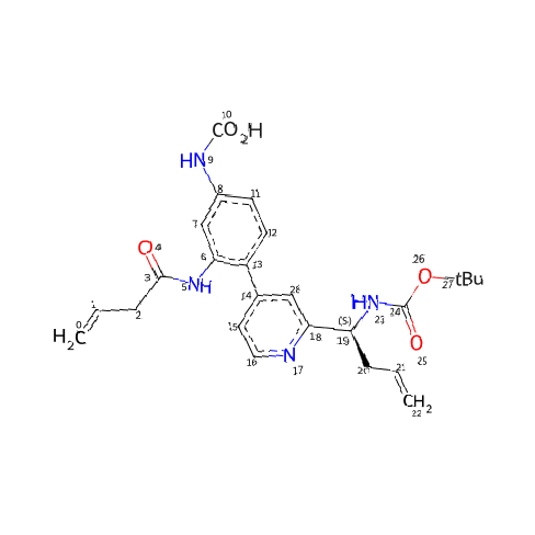 C=CCC(=O)Nc1cc(NC(=O)O)ccc1-c1ccnc([C@H](CC=C)NC(=O)OC(C)(C)C)c1